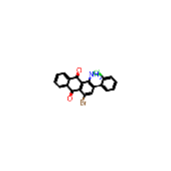 Nc1c(-c2ccccc2Cl)cc(Br)c2c1C(=O)c1ccccc1C2=O